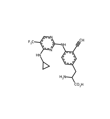 C#Cc1cc(CC(N)C(=O)O)ccc1Nc1ncc(C(F)(F)F)c(NC2CC2)n1